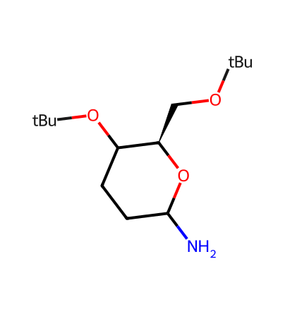 CC(C)(C)OC[C@H]1OC(N)CCC1OC(C)(C)C